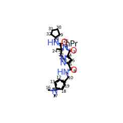 CCCN1C(=O)c2cc(C(=O)NCc3ccc(N(C)C)cc3)nn2CC1(C)C(=O)NC1CCCC1